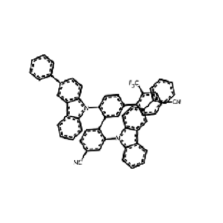 N#Cc1ccc(-c2cc(-c3ccc(C#N)cc3C(F)(F)F)ccc2-n2c3ccccc3c3cc(-c4ccccc4)ccc32)c(-n2c3ccccc3c3cc(-c4ccccc4)ccc32)c1